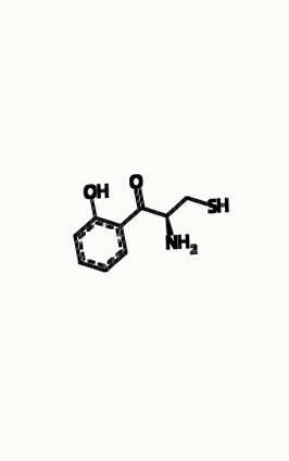 N[C@H](CS)C(=O)c1ccccc1O